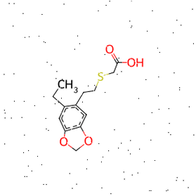 CCc1cc2c(cc1CCSCC(=O)O)OCO2